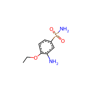 CCOc1ccc(S(N)(=O)=O)cc1N